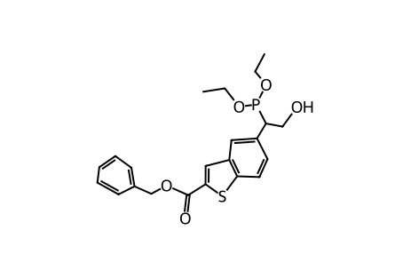 CCOP(OCC)C(CO)c1ccc2sc(C(=O)OCc3ccccc3)cc2c1